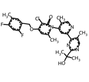 Cc1cc(COc2cc(C)n(-c3cc(-c4nc(C(C)(C)O)ncc4C)ncc3C)c(=O)c2Cl)c(F)cc1F